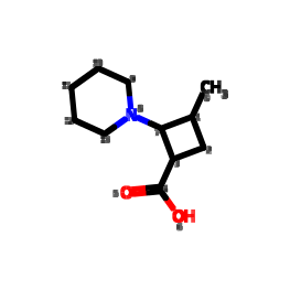 CC1CC(C(=O)O)C1N1CCCCC1